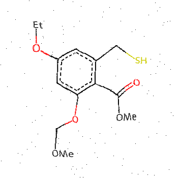 CCOc1cc(CS)c(C(=O)OC)c(OCOC)c1